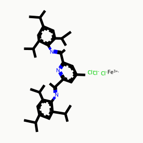 CC(=Nc1c(C(C)C)cc(C(C)C)cc1C(C)C)c1cc(C)cc(C(C)=Nc2c(C(C)C)cc(C(C)C)cc2C(C)C)n1.[Cl-].[Cl-].[Cl-].[Fe+3]